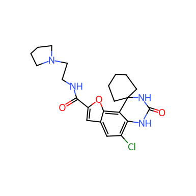 O=C1Nc2c(Cl)cc3cc(C(=O)NCCN4CCCC4)oc3c2C2(CCCCC2)N1